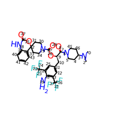 CN(C)C1CCN(C(=O)[C@@H](Cc2cc(C(F)(F)F)c(N)c(C(F)(F)F)c2)OC(=O)N2CCC3(CC2)OC(=O)Nc2ccccc23)CC1